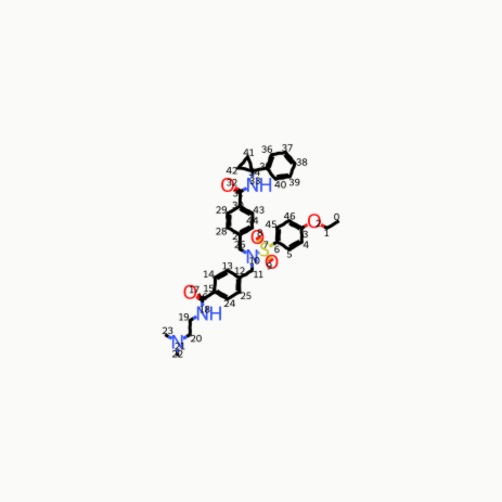 CCOc1ccc(S(=O)(=O)N(Cc2ccc(C(=O)NCCN(C)C)cc2)Cc2ccc(C(=O)NC3(c4ccccc4)CC3)cc2)cc1